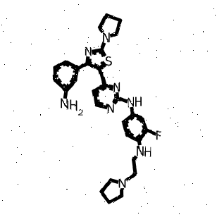 Nc1cccc(-c2nc(N3CCCC3)sc2-c2ccnc(Nc3ccc(NCCN4CCCC4)c(F)c3)n2)c1